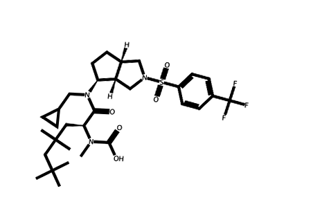 CN(C(=O)O)[C@@H](CC(C)(C)CC(C)(C)C)C(=O)N(CC1CC1)[C@H]1CC[C@@H]2CN(S(=O)(=O)c3ccc(C(F)(F)F)cc3)C[C@@H]21